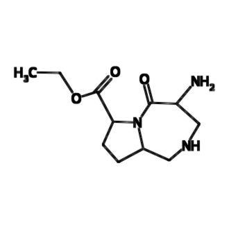 CCOC(=O)C1CCC2CNCC(N)C(=O)N21